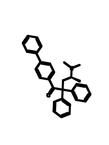 C[C@@H](CC(C(=O)c1ccc(-c2ccccc2)cc1)(c1ccccc1)c1ccccc1)N(C)C